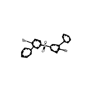 O=S(=O)(c1ccc(Br)c(-c2ccccc2)c1)c1ccc(Br)c(-c2ccccc2)c1